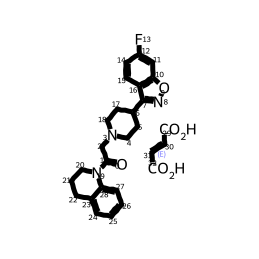 O=C(CN1CCC(c2noc3cc(F)ccc23)CC1)N1CCCc2ccccc21.O=C(O)/C=C/C(=O)O